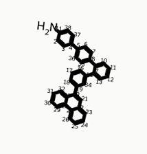 Nc1ccc(-c2ccc(-c3ccccc3-c3cccc(-c4cc5ccccc5c5ccccc45)c3)cc2)cc1